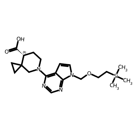 C[Si](C)(C)CCOCn1ccc2c(N3CC[C@@H](C(=O)O)C4(CC4)C3)ncnc21